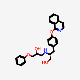 OC[C@H](Cc1ccc(Oc2nccc3ccccc23)cc1)NC[C@H](O)COc1ccccc1